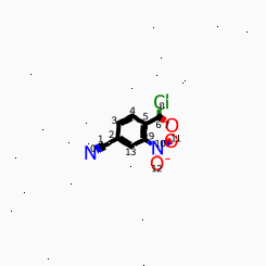 N#Cc1ccc(C(=O)Cl)c([N+](=O)[O-])c1